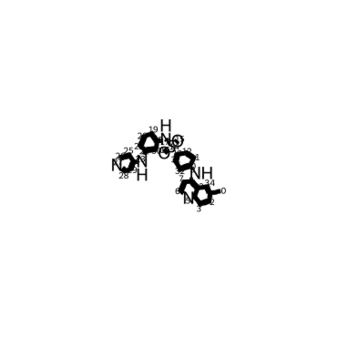 Cc1ccc2nccc(Nc3ccc(S(=O)(=O)Nc4cccc(Nc5ccncc5)c4)cc3)c2c1